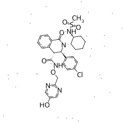 CS(=O)(=O)N[C@H]1CCCC[C@@H]1N1C(=O)c2ccccc2[C@@H](C(=O)NOCc2ncc(O)cn2)[C@@H]1c1ccc(Cl)cc1